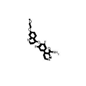 COCCOc1ccc2c(Oc3c(F)cc(-c4ccnnc4C(N)=O)cc3F)ccnc2c1